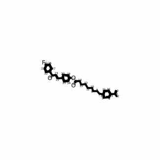 C=C(C)c1ccc(CCCCCCCCC(=O)Oc2ccc(C=CC(=O)c3ccc(F)cc3)cc2)cc1